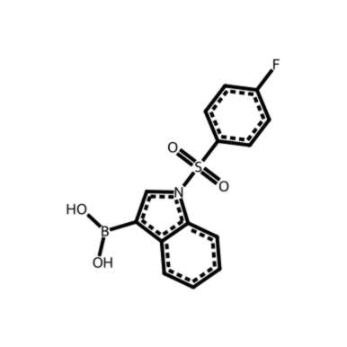 O=S(=O)(c1ccc(F)cc1)n1cc(B(O)O)c2ccccc21